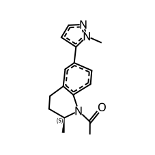 CC(=O)N1c2ccc(-c3ccnn3C)cc2CC[C@@H]1C